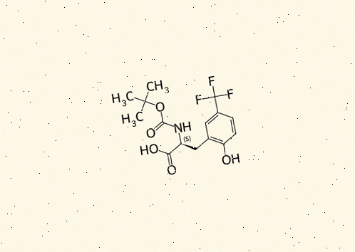 CC(C)(C)OC(=O)N[C@@H](Cc1cc(C(F)(F)F)ccc1O)C(=O)O